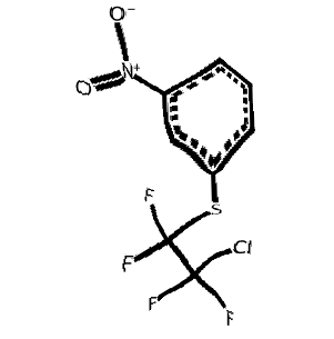 O=[N+]([O-])c1cccc(SC(F)(F)C(F)(F)Cl)c1